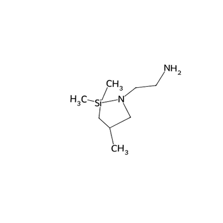 CC1CN(CCN)[Si](C)(C)C1